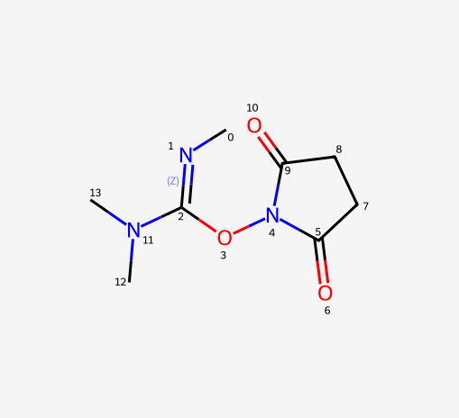 C/N=C(\ON1C(=O)CCC1=O)N(C)C